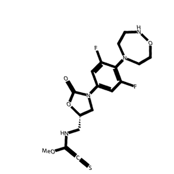 COC(=C=S)NC[C@H]1CN(c2cc(F)c(N3CCNOCC3)c(F)c2)C(=O)O1